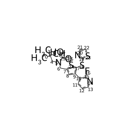 CC(C)(C)CN(Cc1cc(-c2cccnc2F)c(Sc2nccs2)s1)C(=O)O